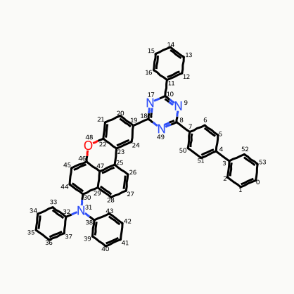 c1ccc(-c2ccc(-c3nc(-c4ccccc4)nc(-c4ccc5c(c4)-c4cccc6c(N(c7ccccc7)c7ccccc7)ccc(c46)O5)n3)cc2)cc1